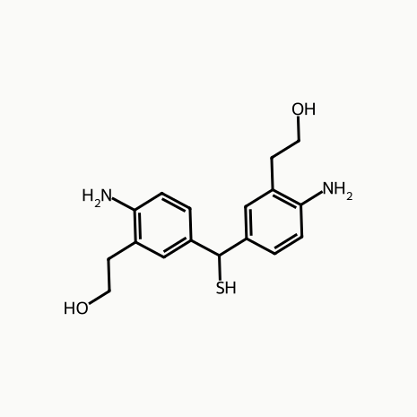 Nc1ccc(C(S)c2ccc(N)c(CCO)c2)cc1CCO